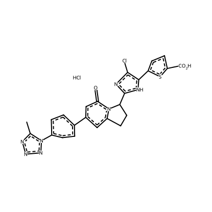 Cc1nnnn1-c1ccc(-c2cc3n(c(=O)c2)C(c2nc(Cl)c(-c4ccc(C(=O)O)s4)[nH]2)CC3)cc1.Cl